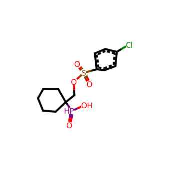 O=[PH](O)C1(COS(=O)(=O)c2ccc(Cl)cc2)CCCCC1